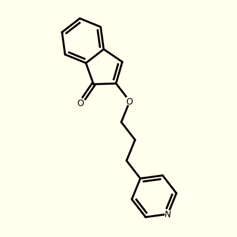 O=C1C(OCCCc2ccncc2)=Cc2ccccc21